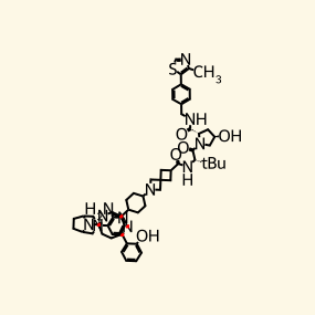 Cc1ncsc1-c1ccc(CNC(=O)[C@@H]2C[C@@H](O)CN2C(=O)[C@@H](NC(=O)C2CC3(C2)CN(C2CCC(C4=C/N=C(/N5C6CCC5CN(c5cc(-c7ccccc7O)nnc5N)C6)CC/C=C\4)CC2)C3)C(C)(C)C)cc1